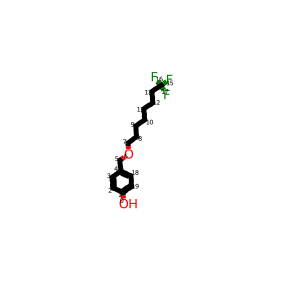 Oc1ccc(COCCCCCCCC(F)(F)F)cc1